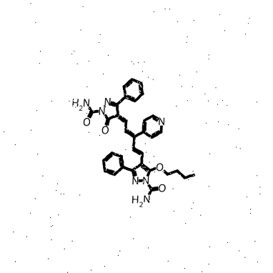 CCCCOc1c(/C=C/C(=C/C=C2\C(=O)N(C(N)=O)N=C2c2ccccc2)c2ccncc2)c(-c2ccccc2)nn1C(N)=O